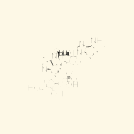 Nc1ncnc2c1ncn2[C@@H]1O[C@H](COP(=O)(O)COC2C(O)[C@@H](CO)O[C@H]2n2cnc3c(N)ncnc32)C(OC[PH](=O)O)C1O